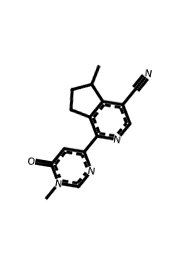 CC1CCc2c(-c3cc(=O)n(C)cn3)ncc(C#N)c21